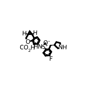 O=C(O)c1c(N[S+]([O-])c2ccc(F)cc2C[C@H]2CCNC2)ccc2c1OC[C@@H]1C[C@H]21